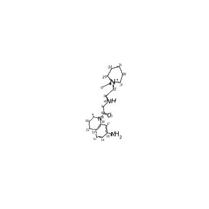 C[N+]1(CCNCC(=O)N2CCCc3ccc(N)cc32)CCCCC1